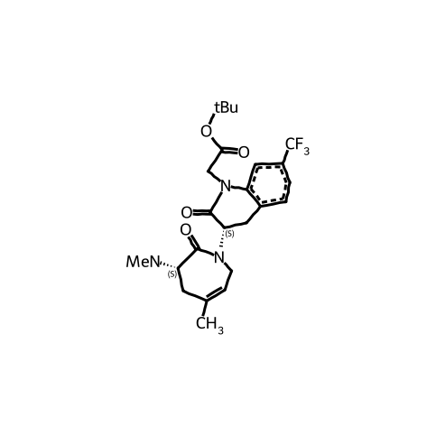 CN[C@H]1CC(C)=CCN([C@H]2Cc3ccc(C(F)(F)F)cc3N(CC(=O)OC(C)(C)C)C2=O)C1=O